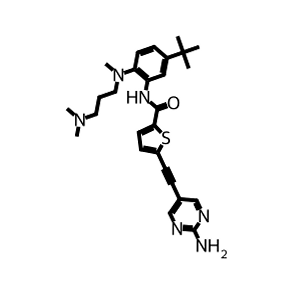 CN(C)CCCN(C)c1ccc(C(C)(C)C)cc1NC(=O)c1ccc(C#Cc2cnc(N)nc2)s1